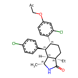 CC[C@@]12CC[C@@H](c3ccc(OCC(C)=O)cc3Cl)[C@H](c3ccc(Cl)cc3)[C@@H]1[C@@H](C)NC2=O